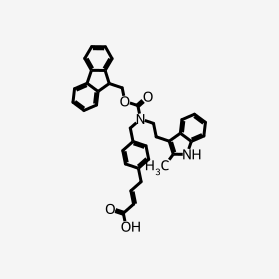 Cc1[nH]c2ccccc2c1CCN(Cc1ccc(C/C=C/C(=O)O)cc1)C(=O)OCC1c2ccccc2-c2ccccc21